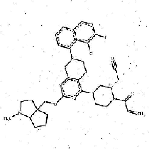 C=CC(=O)N1CCN(c2nc(OCC34CCCC3N(C)CC4)nc3c2CCN(c2cccc4ccc(F)c(Cl)c24)C3)C[C@@H]1CC#N